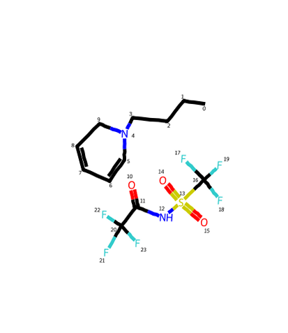 CCCCN1C=CC=CC1.O=C(NS(=O)(=O)C(F)(F)F)C(F)(F)F